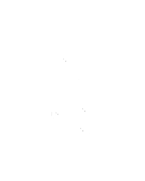 NC1=c2cnsc2=CCN1N